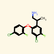 CC(CN)c1cc(F)c(Cl)cc1Oc1ccc(Cl)cc1F